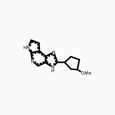 COC1CCC(c2nc3c(cnc4[nH]ccc43)[nH]2)C1